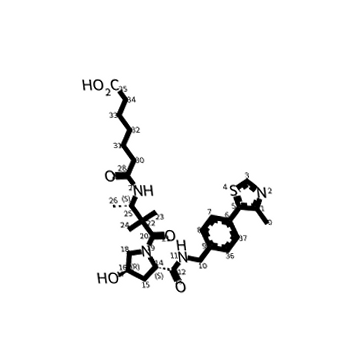 Cc1ncsc1-c1ccc(CNC(=O)[C@@H]2C[C@@H](O)CN2C(=O)C(C)(C)[C@H](C)NC(=O)CCCCCC(=O)O)cc1